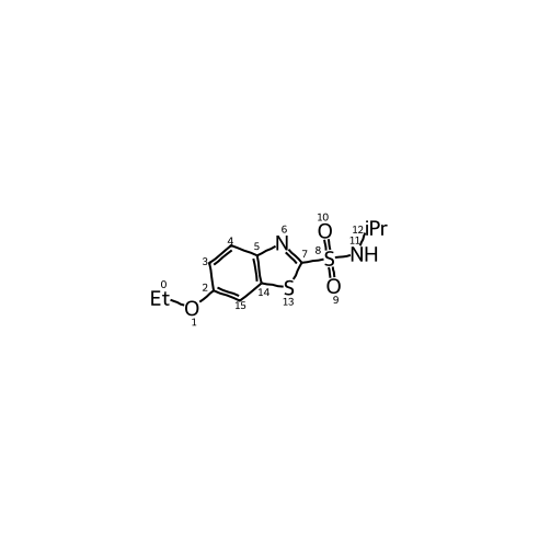 CCOc1ccc2nc(S(=O)(=O)NC(C)C)sc2c1